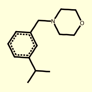 CC(C)c1cccc(CN2CCOCC2)c1